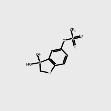 O=S(=O)(Oc1ccc2c(c1)S(O)(O)CO2)C(F)(F)F